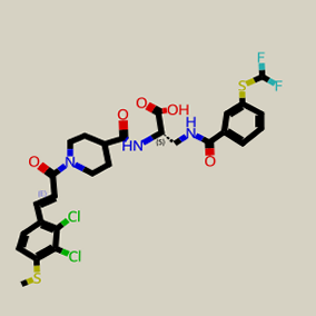 CSc1ccc(/C=C/C(=O)N2CCC(C(=O)N[C@@H](CNC(=O)c3cccc(SC(F)F)c3)C(=O)O)CC2)c(Cl)c1Cl